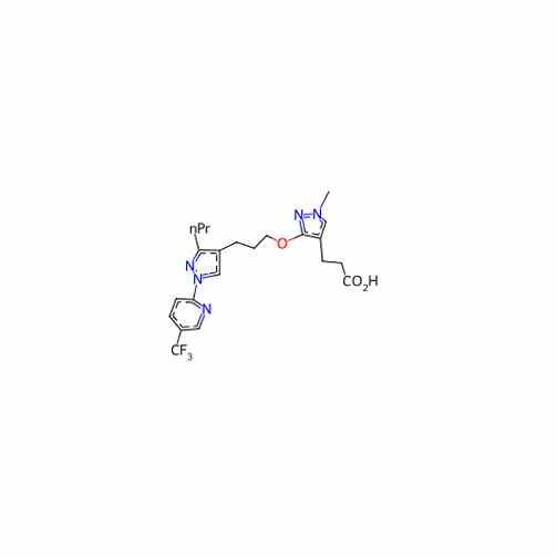 CCCc1nn(-c2ccc(C(F)(F)F)cn2)cc1CCCOc1nn(C)cc1CCC(=O)O